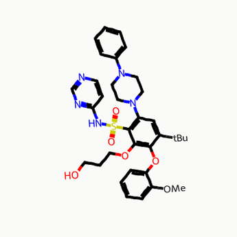 COc1ccccc1Oc1c(C(C)(C)C)cc(N2CCN(c3ccccc3)CC2)c(S(=O)(=O)Nc2ccncn2)c1OCCCO